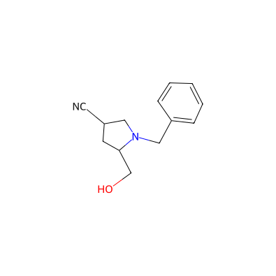 N#CC1CC(CO)N(Cc2ccccc2)C1